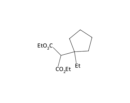 CCOC(=O)C(C(=O)OCC)C1(CC)CCCC1